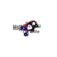 CN/C=C(\C(=N)OC)C(=O)NC1[C@@H](C)[C@@H](OCc2ccccn2)/C=C/[C@H](OC)[C@@H]2CC[C@H]2CN2Cc3ccc(Cl)cc3CCCCOc3ccc(cc32)C(=O)/N=[SH]\1=O